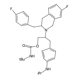 CC(C)Nc1ccc(CC(COC(=O)NC(C)(C)C)N2Cc3cc(F)ccc3CC2Cc2ccc(F)cc2)cc1